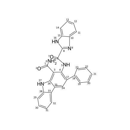 NC(=O)c1c(NC(=O)c2nc3ccccc3[nH]2)c(-c2ccccc2)cc2c1[nH]c1ccccc12